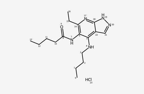 CCCCNc1c(NC(=O)CCCC)c(CC)nc2[nH]ncc12.Cl